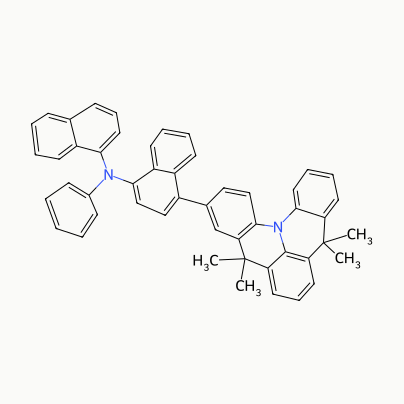 CC1(C)c2ccccc2N2c3ccc(-c4ccc(N(c5ccccc5)c5cccc6ccccc56)c5ccccc45)cc3C(C)(C)c3cccc1c32